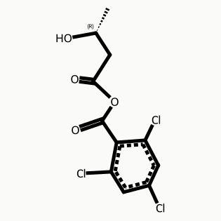 C[C@@H](O)CC(=O)OC(=O)c1c(Cl)cc(Cl)cc1Cl